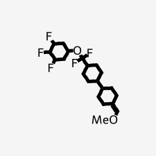 COC=C1CCC(C2CCC(C(F)(F)OC3CC(F)C(F)C(F)C3)CC2)CC1